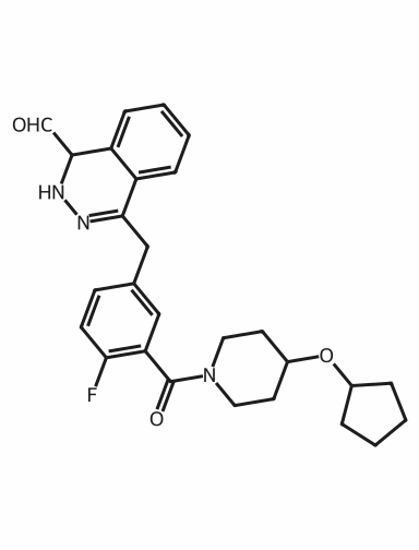 O=CC1NN=C(Cc2ccc(F)c(C(=O)N3CCC(OC4CCCC4)CC3)c2)c2ccccc21